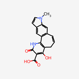 Cn1ccc2cc3c(cc21)C=CCc1c-3[nH]c(=O)c(C(=O)O)c1O